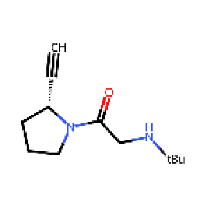 C#C[C@H]1CCCN1C(=O)CNC(C)(C)C